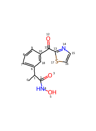 CC(C(=O)NO)c1cccc(C(=O)c2nccs2)c1